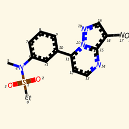 CCS(=O)(=O)N(C)c1cccc(-c2ccnc3c([N+](=O)[O-])cnn23)c1